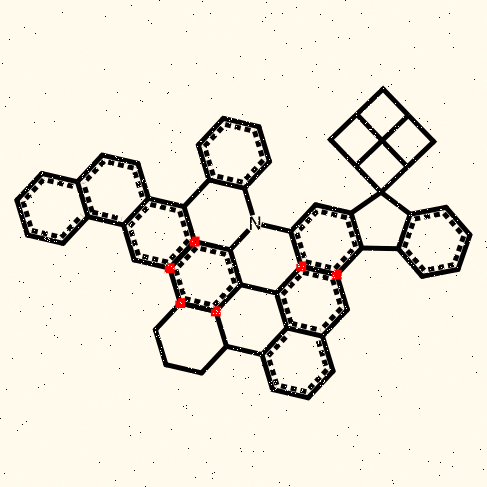 c1ccc(N(c2ccc3c(c2)C2(c4ccccc4-3)C3CC4CC5CC2C453)c2ccccc2-c2cccc3cccc(C4CCCCC4)c23)c(-c2cccc3c2ccc2ccccc23)c1